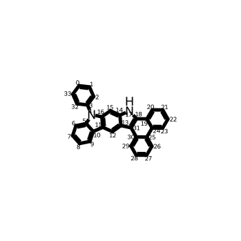 c1ccc(-n2c3ccccc3c3cc4c(cc32)[nH]c2c3ccccc3c3ccccc3c42)cc1